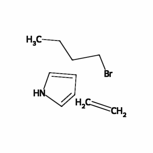 C=C.CCCCBr.c1cc[nH]c1